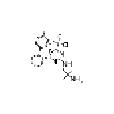 Cc1ccc(-c2ccccc2-c2nc(NCC(C)(C)N)nc(C(Cl)(Cl)Cl)n2)cc1